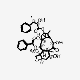 CC(=O)O[C@@]12CO[C@@H]1C[C@H](O)[C@@]1(C)C(=O)[C@H](O)C3=C(C)[C@@H](OC(=O)[C@H](O)[C@@H](C)c4ccccc4)C[C@@](O)([C@@H](OC(=O)c4ccccc4)[C@H]21)C3(C)C